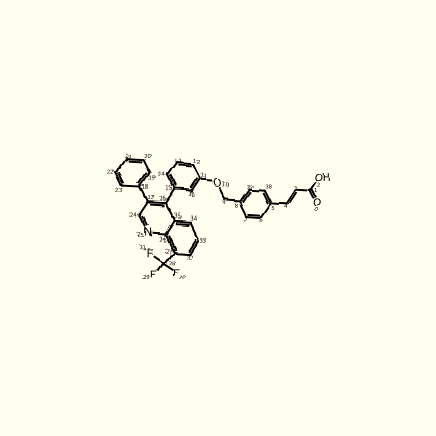 O=C(O)/C=C/c1ccc(COc2cccc(-c3c(-c4ccccc4)cnc4c(C(F)(F)F)cccc34)c2)cc1